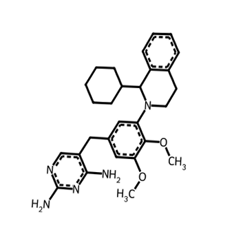 COc1cc(Cc2cnc(N)nc2N)cc(N2CCc3ccccc3C2C2CCCCC2)c1OC